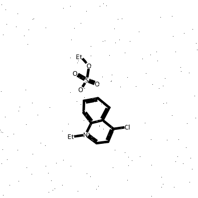 CCOS(=O)(=O)[O-].CC[n+]1ccc(Cl)c2ccccc21